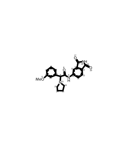 COc1cccc(C(C(=O)Nc2ccc3c(c2)C(=O)NC3=O)N2CCCC2)c1